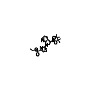 CCOC(=O)c1csc(-n2cc(B3OC(C)(C)C(C)(C)O3)c3cccnc32)n1